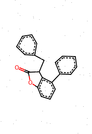 O=C1Oc2cccc(-c3ccccc3)c2C1Cc1ccccc1